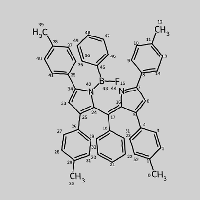 Cc1ccc(C2=CC(c3ccc(C)cc3)=N/C2=C(/c2ccccc2)c2c(-c3ccc(C)cc3)cc(-c3ccc(C)cc3)n2B(F)c2ccccc2)cc1